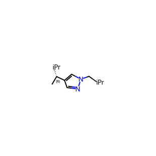 CC(C)Cn1cc([C@H](C)C(C)C)cn1